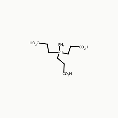 O=C(O)CC[PH](P)(CCC(=O)O)CCC(=O)O